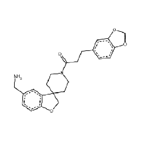 NCc1ccc2c(c1)C1(CCN(C(=O)CCc3ccc4c(c3)OCO4)CC1)CO2